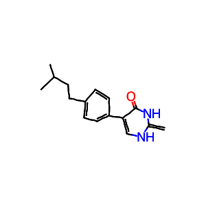 C=C1NC=C(c2ccc(CCC(C)C)cc2)C(=O)N1